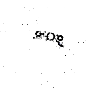 COc1ccnc(C(=O)N[C@H]2COC[C@H](Cc3ccccc3)[C@@H](OC/C=C/C(F)(F)F)[C@H](C)OC2=O)c1O